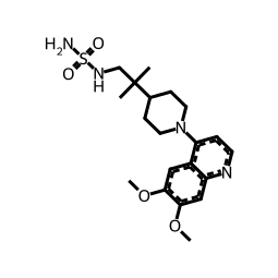 COc1cc2nccc(N3CCC(C(C)(C)CNS(N)(=O)=O)CC3)c2cc1OC